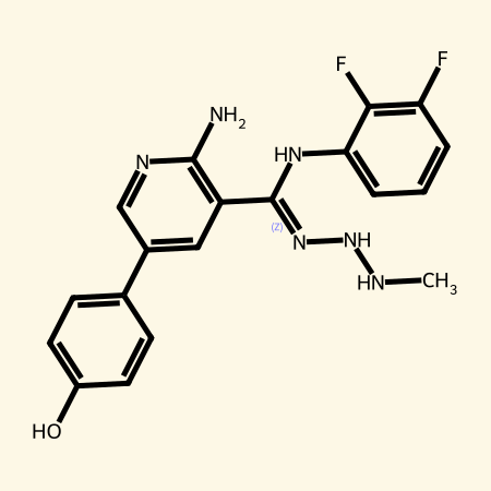 CNN/N=C(\Nc1cccc(F)c1F)c1cc(-c2ccc(O)cc2)cnc1N